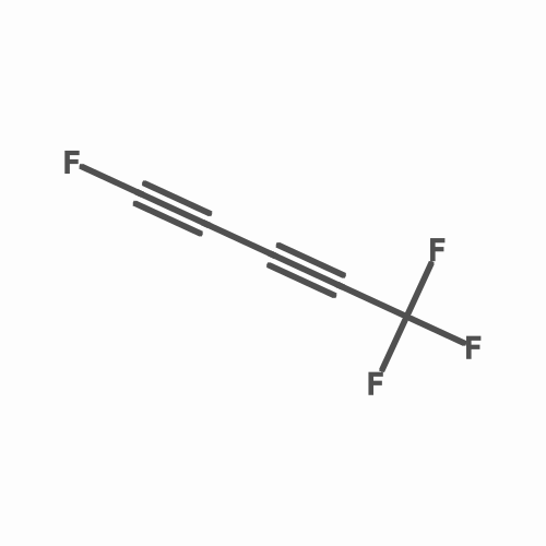 FC#CC#CC(F)(F)F